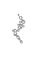 O=C(Nc1ccc(Oc2ccnc3cnc(N4CCN(C5COC5)CC4)cc23)cn1)c1cccn(-c2ccc(F)cc2)c1=O